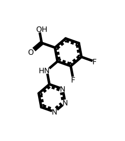 O=C(O)c1ccc(F)c(F)c1Nc1ccnnn1